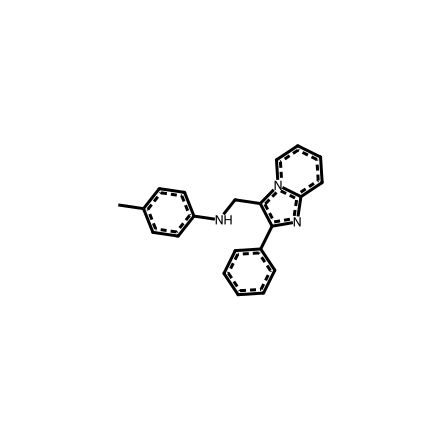 Cc1ccc(NCc2c(-c3ccccc3)nc3ccccn23)cc1